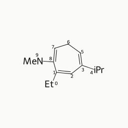 CCC1=CC(C(C)C)=CCC=C1NC